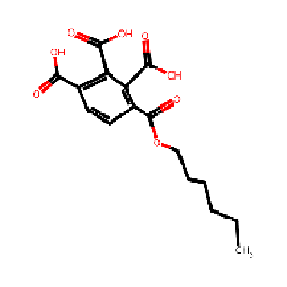 CCCCCCOC(=O)c1ccc(C(=O)O)c(C(=O)O)c1C(=O)O